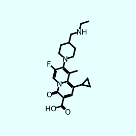 CCNCC1CCN(c2c(F)cn3c(=O)c(C(=O)O)cc(C4CC4)c3c2C)CC1